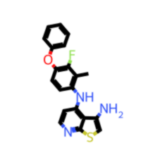 Cc1c(Nc2ccnc3scc(N)c23)ccc(Oc2ccccc2)c1F